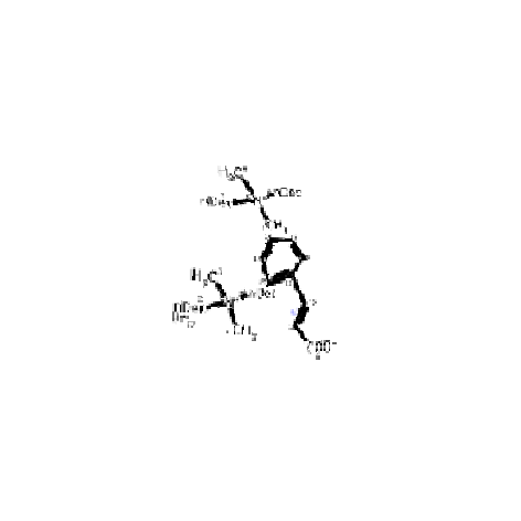 CCCCCCCCCC[N+](C)(C)CCCCCCCCCC.CCCCCCCCCC[N+](C)(C)CCCCCCCCCC.O=C([O-])/C=C/c1ccccc1.[Br-]